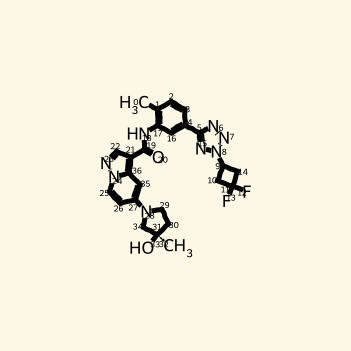 Cc1ccc(-c2nnn(C3CC(F)(F)C3)n2)cc1NC(=O)c1cnn2ccc(N3CC[C@@](C)(O)C3)cc12